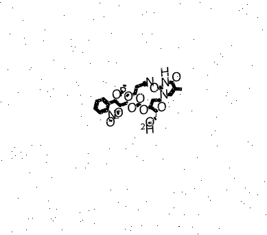 [2H]OC[C@H]1O[C@@H](n2cc(C)c(=O)[nH]c2=O)CC1OC(=O)OCCC(OP(C)OCCC#N)c1ccccc1[N+](=O)[O-]